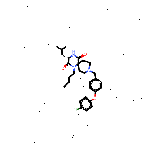 CCCCN1C(=O)[C@H](CC(C)C)NC(=O)C12CCN(Cc1ccc(Oc3ccc(Cl)cc3)cc1)CC2